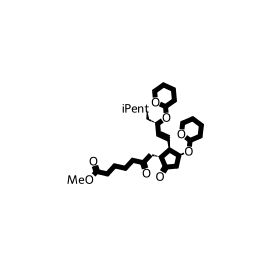 CCC[C@H](C)C[C@@H](/C=C/[C@H]1[C@H](OC2CCCCO2)CC(=O)[C@@H]1CC(=O)CCCCC(=O)OC)OC1CCCCO1